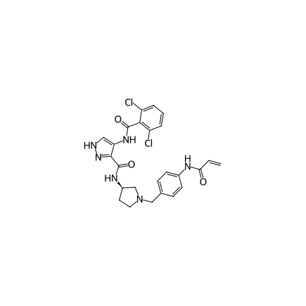 C=CC(=O)Nc1ccc(CN2CC[C@@H](NC(=O)c3n[nH]cc3NC(=O)c3c(Cl)cccc3Cl)C2)cc1